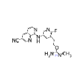 C/N=C(/N)OCCc1cc(Nc2nccc3cc(C#N)cnc23)cnc1F